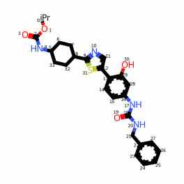 CC(C)OC(=O)NC1CCC(c2ncc(-c3ccc(NC(=O)NCc4ccccc4)cc3O)s2)CC1